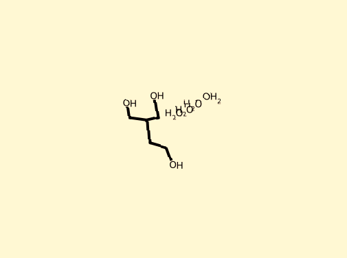 O.O.O.O.OCCC(CO)CO